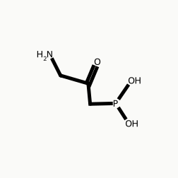 NCC(=O)CP(O)O